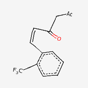 CC(=O)CC(=O)/C=C\c1ccccc1C(F)(F)F